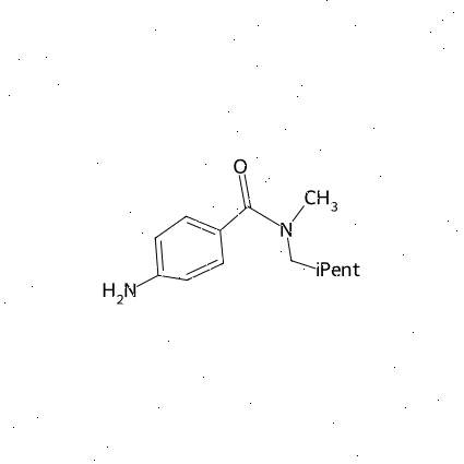 CCCC(C)CN(C)C(=O)c1ccc(N)cc1